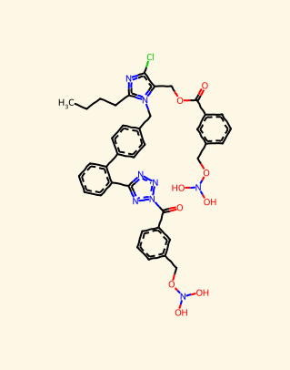 CCCCc1nc(Cl)c(COC(=O)c2cccc(CON(O)O)c2)n1Cc1ccc(-c2ccccc2-c2nnn(C(=O)c3cccc(CON(O)O)c3)n2)cc1